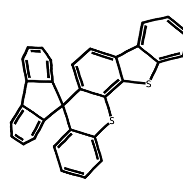 c1ccc2c(c1)Sc1c(ccc3c1sc1ccccc13)C21c2ccccc2-c2ccccc21